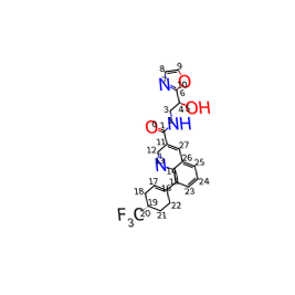 O=C(NC[C@H](O)c1ncco1)c1cnc2c(C3=CC[C@@H](C(F)(F)F)CC3)cccc2c1